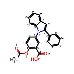 CC(=O)Oc1ccc(-n2c(-c3ccccc3)cc3ccccc32)cc1C(=O)O